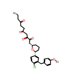 CCOc1ccc(Cc2cc([C@H]3CCC[C@H](CC(=O)C(=O)CC(=O)CCC(=O)CCC(C)=O)O3)ccc2Cl)cc1